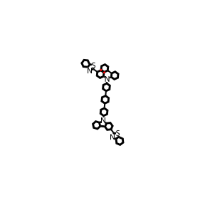 c1ccc(-c2ccccc2N(c2ccc(-c3ccc(-c4ccc(-n5c6ccccc6c6cc(-c7nc8ccccc8s7)ccc65)cc4)cc3)cc2)c2ccc(-c3nc4ccccc4s3)cc2)cc1